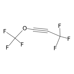 FC(F)(F)C#COC(F)(F)F